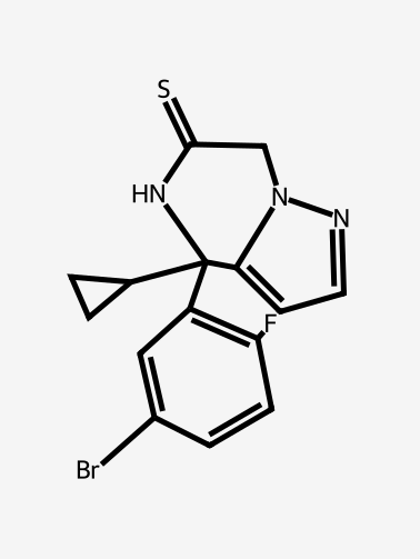 Fc1ccc(Br)cc1C1(C2CC2)NC(=S)Cn2nccc21